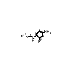 CC(C)(C)CCNc1ccc(N)cc1F